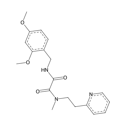 COc1ccc(CNC(=O)C(=O)N(C)CCc2ccccn2)c(OC)c1